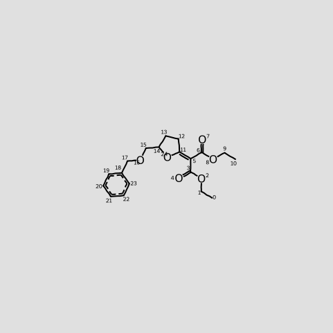 CCOC(=O)C(C(=O)OCC)=C1CCC(COCc2ccccc2)O1